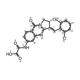 O=C(O)C(=O)Nc1ccc2c(=O)n3c(nc2c1)/C(=C/c1c(Cl)cccc1Cl)CC3